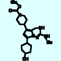 CC[C@H](C)NC1=Nn2c(C3CCC(O)CC3)cc(C3CCN(C(=O)OC(C)(C)C)CC3)c2CN1